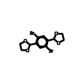 Brc1cc(C2OCCO2)c(Br)cc1C1OCCO1